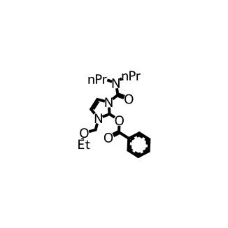 CCCN(CCC)C(=O)N1C=CN(COCC)C1OC(=O)c1ccccc1